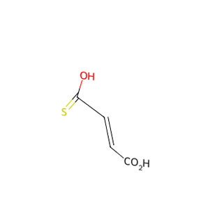 O=C(O)C=CC(O)=S